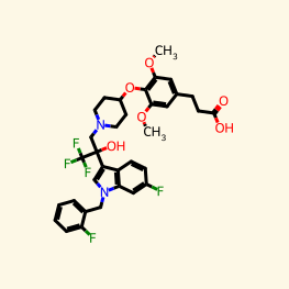 COc1cc(CCC(=O)O)cc(OC)c1OC1CCN(CC(O)(c2cn(Cc3ccccc3F)c3cc(F)ccc23)C(F)(F)F)CC1